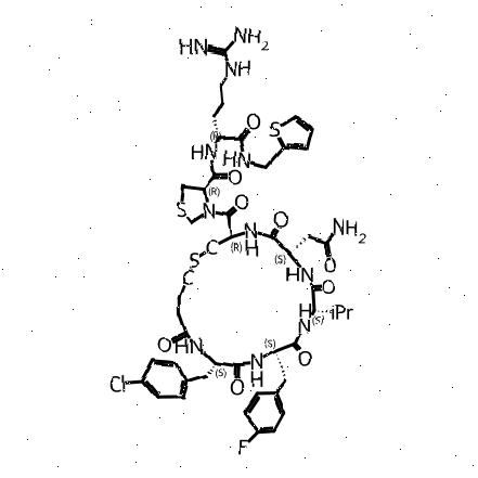 CC(C)[C@@H]1NC(=O)[C@H](Cc2ccc(F)cc2)NC(=O)[C@H](Cc2ccc(Cl)cc2)NC(=O)CCCSC[C@@H](C(=O)N2CSC[C@H]2C(=O)N[C@H](CCCNC(=N)N)C(=O)NCc2cccs2)NC(=O)[C@H](CC(N)=O)NC1=O